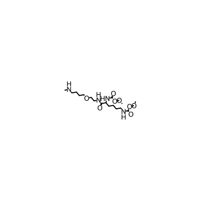 CNCCCCOCCNC(=O)C(CCCCNC(=O)OOC)NC(=O)OOC